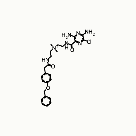 C[N+](C)(CCNC(=O)Cc1ccc(OCc2ccccc2)cc1)CCNC(=O)c1nc(Cl)c(N)nc1N